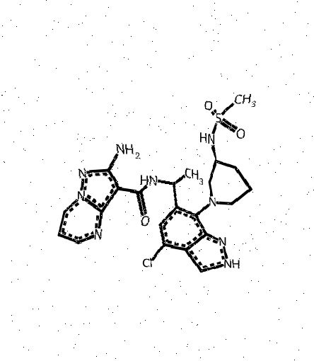 CC(NC(=O)c1c(N)nn2cccnc12)c1cc(Cl)c2c[nH]nc2c1N1CCC[C@H](NS(C)(=O)=O)C1